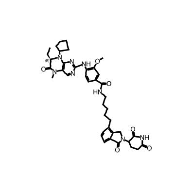 CC[C@@H]1C(=O)N(C)c2cnc(Nc3ccc(C(=O)NCCCCCc4cccc5c4CN(C4CCC(=O)NC4=O)C5=O)cc3OC)nc2N1C1CCCC1